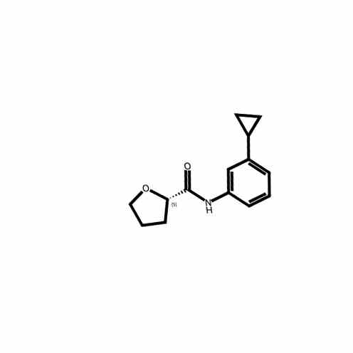 O=C(Nc1cccc(C2CC2)c1)[C@@H]1CCCO1